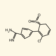 N=C(N)c1ccc(C2=C(Cl)[C]=CCC2=S(=O)=O)cc1